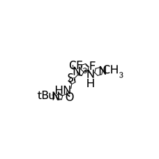 CN1CC[C@@H](Nc2cccc3c2cc(-c2cc(CNC(=O)c4ccn(C(C)(C)C)c4)cs2)n3CC(F)(F)F)[C@@H](F)C1